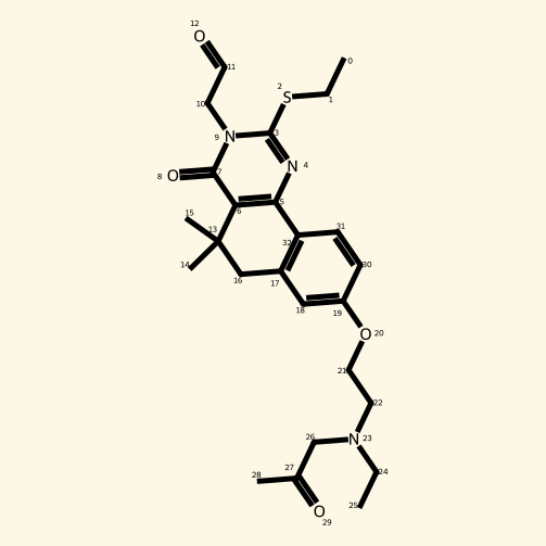 CCSc1nc2c(c(=O)n1CC=O)C(C)(C)Cc1cc(OCCN(CC)CC(C)=O)ccc1-2